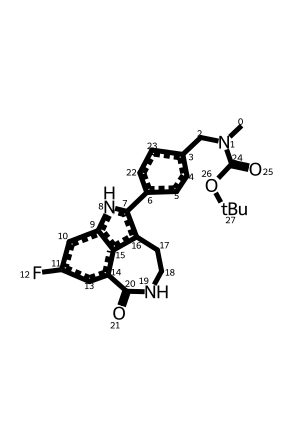 CN(Cc1ccc(-c2[nH]c3cc(F)cc4c3c2CCNC4=O)cc1)C(=O)OC(C)(C)C